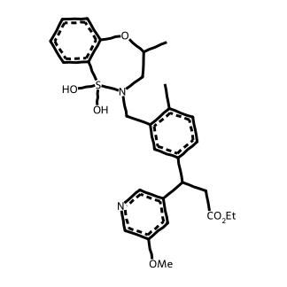 CCOC(=O)CC(c1cncc(OC)c1)c1ccc(C)c(CN2CC(C)Oc3ccccc3S2(O)O)c1